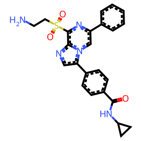 NCCS(=O)(=O)c1nc(-c2ccccc2)cn2c(-c3ccc(C(=O)NC4CC4)cc3)cnc12